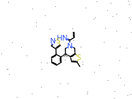 C=CC(=N)N1Cc2sc(C)cc2[C@@H](c2ccccc2-c2cnsc2)C1